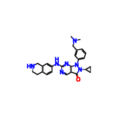 CN(C)Cc1cccc(-n2c3nc(Nc4ccc5c(c4)CNCC5)ncc3c(=O)n2C2CC2)c1